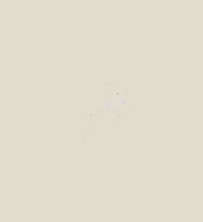 Cc1cc(C2CC2)c(C(C)C)cc1N(CC(C)C)c1ccccn1